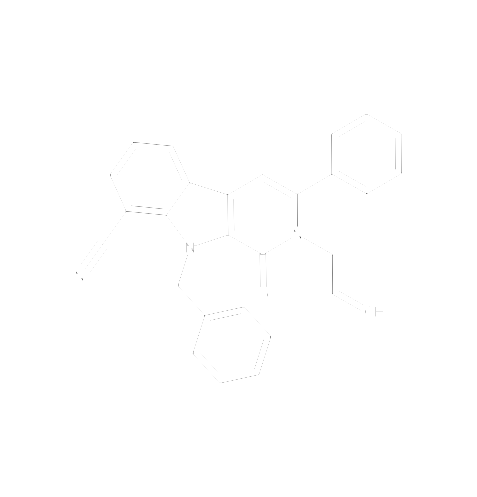 C=CCn1c(-c2ccccc2)cc2c3cccc(C#N)c3n(Cc3ccccc3)c2c1=O